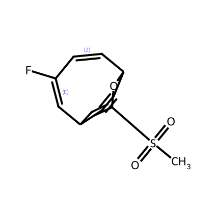 CS(=O)(=O)C1=CC2C#CC(/C=C\C(F)=C/2)O1